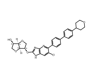 O[C@@H]1CO[C@H]2[C@@H]1OC[C@H]2Oc1nc2nc(-c3ccc(-c4ccc(C5CCOCC5)cc4)cc3)c(Cl)cc2[nH]1